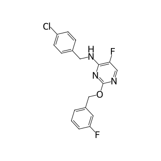 Fc1cccc(COc2ncc(F)c(NCc3ccc(Cl)cc3)n2)c1